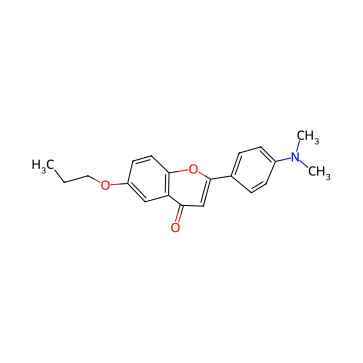 CCCOc1ccc2oc(-c3ccc(N(C)C)cc3)cc(=O)c2c1